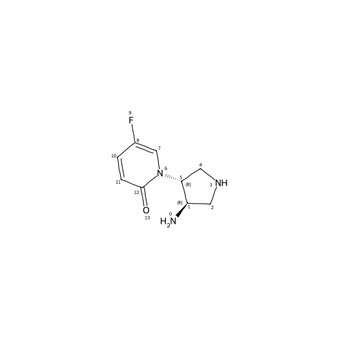 N[C@@H]1CNC[C@H]1n1cc(F)ccc1=O